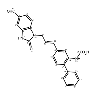 O=Cc1ccc2c(c1)[nH]c(=O)n2CC=Cc1ccc(-c2ccccc2)c(NC(=O)O)c1